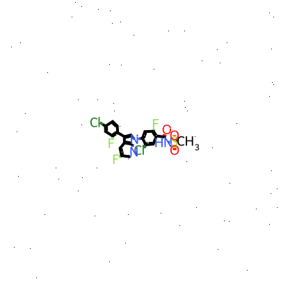 CS(=O)(=O)NC(=O)c1cc(Cl)c(-n2cc(-c3ccc(Cl)cc3F)c3cc(F)cnc32)cc1F